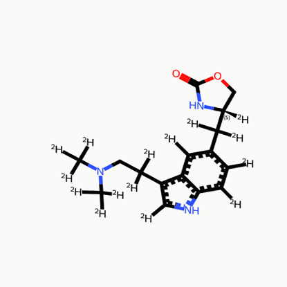 [2H]c1[nH]c2c([2H])c([2H])c(C([2H])([2H])[C@@]3([2H])COC(=O)N3)c([2H])c2c1C([2H])([2H])CN(C([2H])([2H])[2H])C([2H])([2H])[2H]